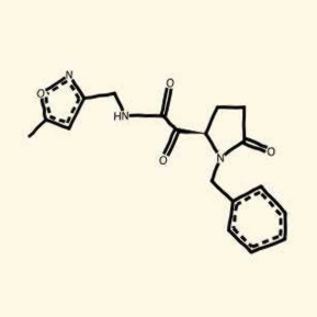 Cc1cc(CNC(=O)C(=O)[C@H]2CCC(=O)N2Cc2ccccc2)no1